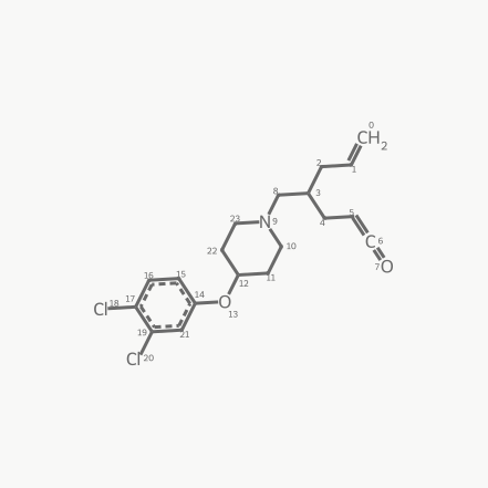 C=CCC(CC=C=O)CN1CCC(Oc2ccc(Cl)c(Cl)c2)CC1